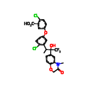 CC(c1cc(Oc2ccc(Cl)c(C(=O)O)c2)ccc1Cl)C(O)(c1ccc2c(c1)N(C)C(=O)CO2)C(F)(F)F